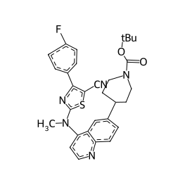 CN(c1nc(-c2ccc(F)cc2)c(C#N)s1)c1ccnc2ccc(C3CCN(C(=O)OC(C)(C)C)CC3)cc12